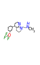 CNCCN1CCCc2c(-c3cccc(OC(F)(F)F)c3)ccnc21